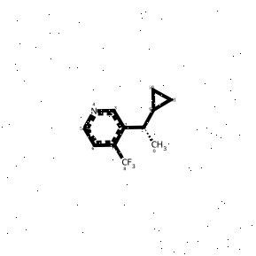 C[C@H](c1cnccc1C(F)(F)F)C1CC1